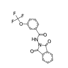 O=C(NN1C(=O)c2ccccc2C1=O)c1cccc(OC(F)(F)F)c1